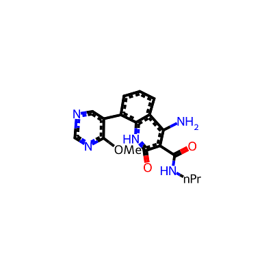 CCCNC(=O)c1c(N)c2cccc(-c3cncnc3OC)c2[nH]c1=O